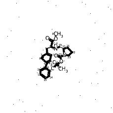 COC(=O)[C@H](Cc1ccc(-c2ccccc2)cc1)NC[C@@H]1CCCN1C(=O)OC(C)(C)C